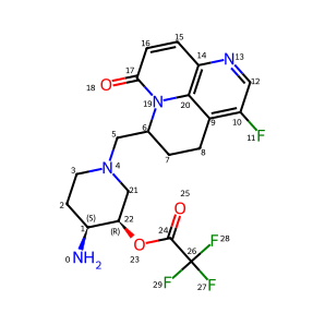 N[C@H]1CCN(CC2CCc3c(F)cnc4ccc(=O)n2c34)C[C@H]1OC(=O)C(F)(F)F